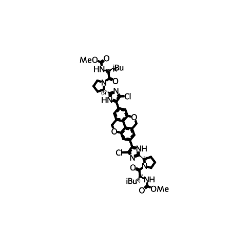 CC[C@H](C)[C@H](NC(=O)OC)C(=O)N1CCC[C@H]1c1nc(Cl)c(-c2cc3c4c(c2)OCc2cc(-c5[nH]c([C@@H]6CCCN6C(=O)[C@@H](NC(=O)OC)[C@@H](C)CC)nc5Cl)cc(c2-4)OC3)[nH]1